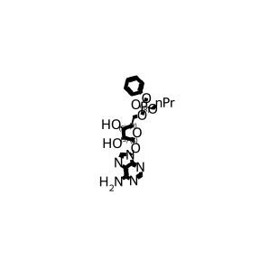 CCCO[P@](=O)(OC[C@H]1O[C@@H](On2cnc3c(N)ncnc32)[C@@H](O)[C@@H]1O)Oc1ccccc1